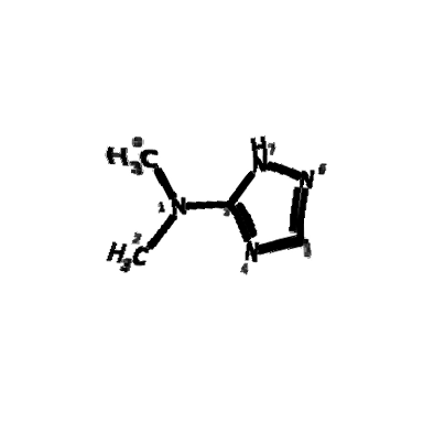 CN(C)c1n[c]n[nH]1